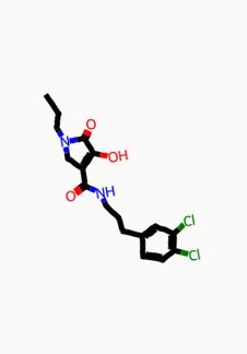 CCCN1CC(C(=O)NCCCc2ccc(Cl)c(Cl)c2)=C(O)C1=O